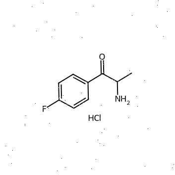 CC(N)C(=O)c1ccc(F)cc1.Cl